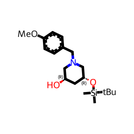 COc1ccc(CN2C[C@H](O)C[C@@H](O[Si](C)(C)C(C)(C)C)C2)cc1